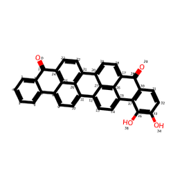 O=C1c2ccccc2-c2ccc3c4ccc5c6c(ccc(c7ccc1c2c73)c64)C(=O)c1ccc(O)c(O)c1-5